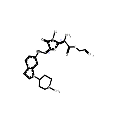 C=CCOC(=O)/C(N)=c1\s/c(=C/Nc2ccc3ccn(C4CCN(C)CC4)c3c2)c(=O)n1CC